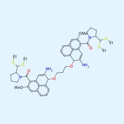 CCSC(SCC)C1CCCN1C(=O)c1c(OC)cc2cccc3c2c1C=C(N)C3OCCCOC1C(N)=Cc2c(C(=O)N3CCCC3C(SCC)SCC)c(OC)cc3cccc1c23